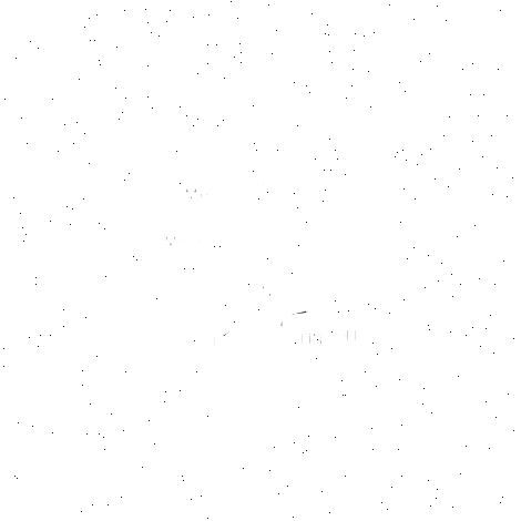 COc1cc(C(=O)N2C[C@H](F)C[C@@H]2C(=O)NO)cc(SC(F)(F)F)c1OC